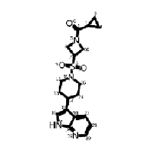 O=C(C1CC1)N1CC(S(=O)(=O)N2CCC(c3c[nH]c4ncccc34)CC2)C1